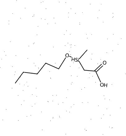 CCCCCO[SiH](C)CC(=O)O